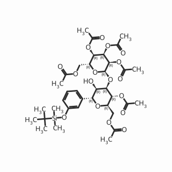 CC(=O)OC[C@H]1O[C@H](O[C@@H]2[C@H](O)[C@@H](c3cccc(O[Si](C)(C)C(C)(C)C)c3)O[C@H](COC(C)=O)[C@H]2OC(C)=O)[C@H](OC(C)=O)[C@H](OC(C)=O)[C@@H]1OC(C)=O